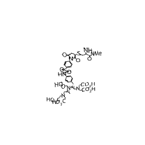 CNC(=O)C(N)CSC1CC(=O)N(c2ccc(S(=O)(=O)Nc3ccc(C[C@H](CN(CC(=O)O)CC(=O)O)N(COO)[C@@H](C)CN(CC(=O)O)CC(=O)O)cc3)cc2)C1=O